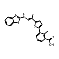 C/C(=N\Nc1nc2ccccc2s1)c1ccc(-c2cccc(C(=O)O)c2C)s1